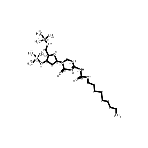 CCCCCCCCCOC(=O)NC1=NC(=O)N(C2CC(O[Si](C)(C)C)C(CO[Si](C)(C)C)O2)CN1